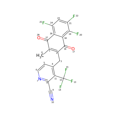 CC1=C(Cc2ccnc(C#N)c2C(F)(F)F)C(=O)c2c(F)c(F)cc(F)c2C1=O